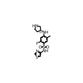 Cc1cc(S(=O)(=O)Nc2cscn2)c(F)cc1N[C@H]1CCNC1